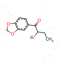 CCC(Br)C(=O)c1ccc2c(c1)OCO2